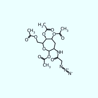 CC(=O)OCC1OC(OC(C)=O)C(NC(=O)CN=[N+]=[N-])CC(OC(C)=O)[C@@H]1OC(C)=O